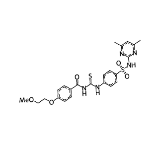 COCCOc1ccc(C(=O)NC(=S)Nc2ccc(S(=O)(=O)Nc3nc(C)cc(C)n3)cc2)cc1